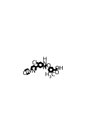 Cc1ccc(Oc2nc3cc(-c4ccc(N5CCOCC5)nc4)c(Cl)cc3[nH]2)cc1C(=O)O